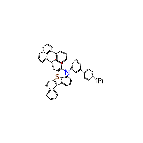 CC(C)c1ccc(-c2cccc(N(c3ccc(-c4cccc5cccc(-c6ccccc6)c45)cc3)c3cccc4c3sc3ccc5ccccc5c34)c2)cc1